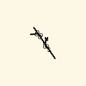 CCCCCCCCCCSSCCOC(=O)CCN(CCCCCCOC(=O)CCC(OCCCCCC)OCCCCCC)CCCN(CC)CC